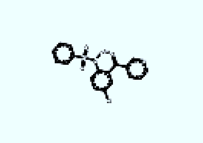 CCCCN(c1ccc(Cl)cc1C(=O)c1cccnc1)S(=O)(=O)c1ccccc1